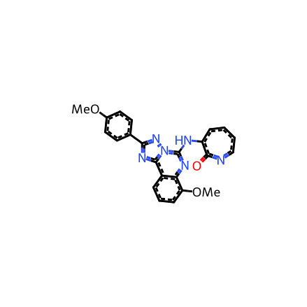 COc1ccc(-c2nc3c4cccc(OC)c4nc(Nc4ccccnc4=O)n3n2)cc1